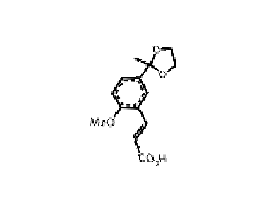 COc1ccc(C2(C)OCCO2)cc1/C=C/C(=O)O